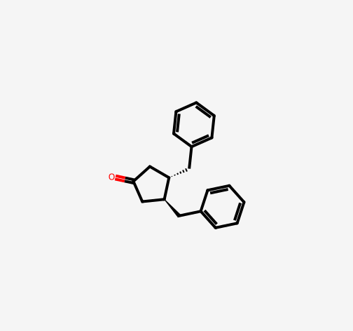 O=C1C[C@H](Cc2ccccc2)[C@@H](Cc2ccccc2)C1